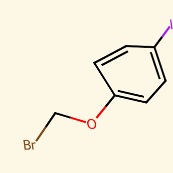 BrCOc1ccc(I)cc1